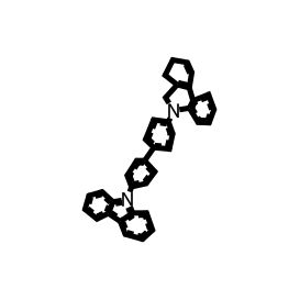 C1=CC2=C(CC1)CN(c1ccc(-c3ccc(-n4c5ccccc5c5ccccc54)cc3)cc1)c1ccccc12